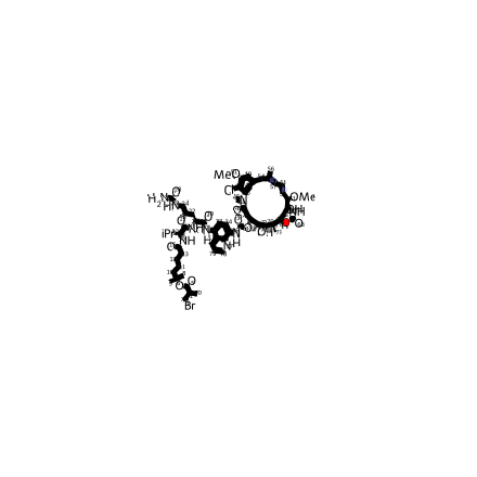 C=C(CBr)C(=O)OC(C)(C)CCCCC(=O)N[C@H](C(=O)N[C@@H](CCCNC(N)=O)C(=O)Nc1ccc(NC(=O)O[C@H]2CC(=O)N(C)c3cc(cc(OC)c3Cl)C/C(C)=C/C=C/[C@@H](OC)[C@@]3(O)C[C@H](OC(=O)N3)[C@@H](C)[C@@H]3O[C@@]23C)c2ncccc12)C(C)C